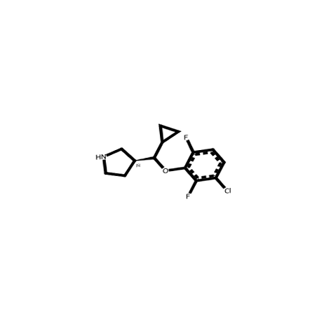 Fc1ccc(Cl)c(F)c1OC(C1CC1)[C@H]1CCNC1